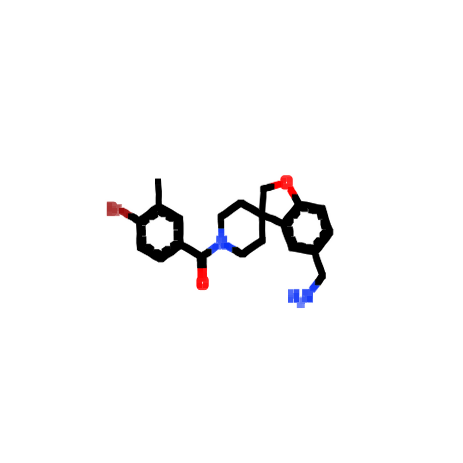 Cc1cc(C(=O)N2CCC3(CC2)COc2ccc(CN)cc23)ccc1Br